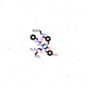 C=CCN(C)CC(=O)N1[C@@H](NC(=O)NCc2ccccc2)CN(Cc2cccc(C(=O)NCCOC)c2)C(=O)[C@@H]1Cc1ccc(O)cc1